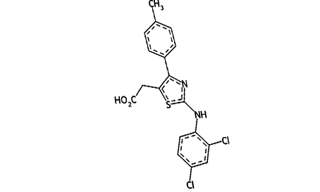 Cc1ccc(-c2nc(Nc3ccc(Cl)cc3Cl)sc2CC(=O)O)cc1